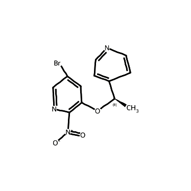 C[C@@H](Oc1cc(Br)cnc1[N+](=O)[O-])c1ccncc1